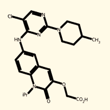 CC1CCN(c2ncc(Cl)c(Nc3ccc4c(c3)cc(OCC(=O)O)c(=O)n4C(C)C)n2)CC1